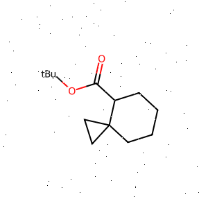 CC(C)(C)OC(=O)C1CCCCC12CC2